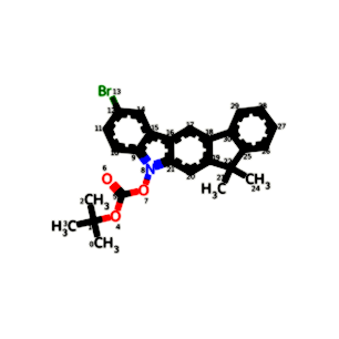 CC(C)(C)OC(=O)On1c2ccc(Br)cc2c2cc3c(cc21)C(C)(C)c1ccccc1-3